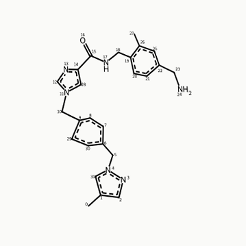 Cc1cnn(Cc2ccc(Cn3cnc(C(=O)NCc4ccc(CN)cc4C)c3)cc2)c1